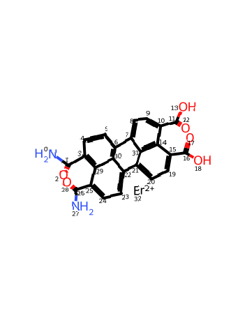 NC(=O)c1ccc2c3ccc(C(=O)O)c4c(C(=O)O)ccc(c5ccc(C(N)=O)c1c25)c43.[Er+2]